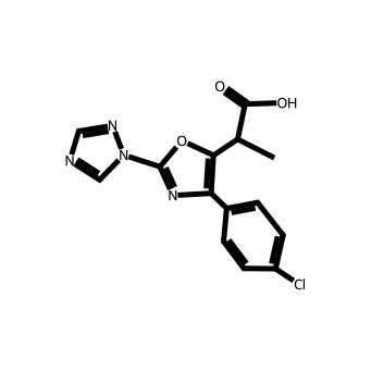 CC(C(=O)O)c1oc(-n2cncn2)nc1-c1ccc(Cl)cc1